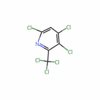 Clc1cc(Cl)c(Cl)c(C(Cl)(Cl)Cl)n1